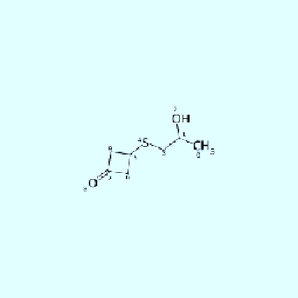 CC(O)CSC1CC(=O)C1